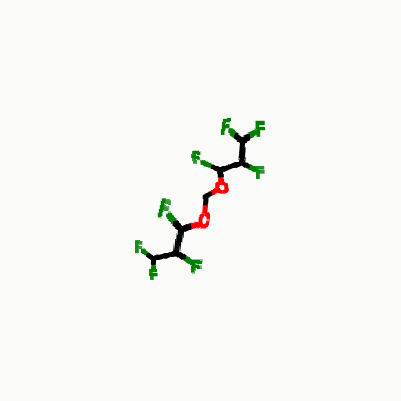 FC(F)C(F)C(F)OCOC(F)C(F)C(F)F